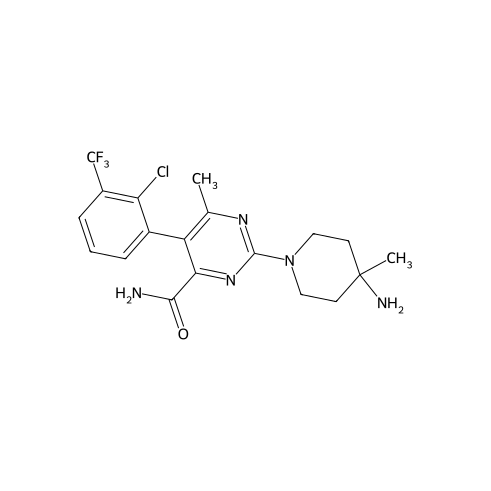 Cc1nc(N2CCC(C)(N)CC2)nc(C(N)=O)c1-c1cccc(C(F)(F)F)c1Cl